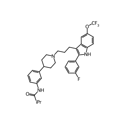 CC(C)C(=O)Nc1cccc(C2CCN(CCCc3c(-c4cccc(F)c4)[nH]c4ccc(OC(F)(F)F)cc34)CC2)c1